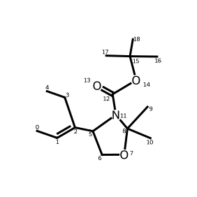 CC=C(CC)C1COC(C)(C)N1C(=O)OC(C)(C)C